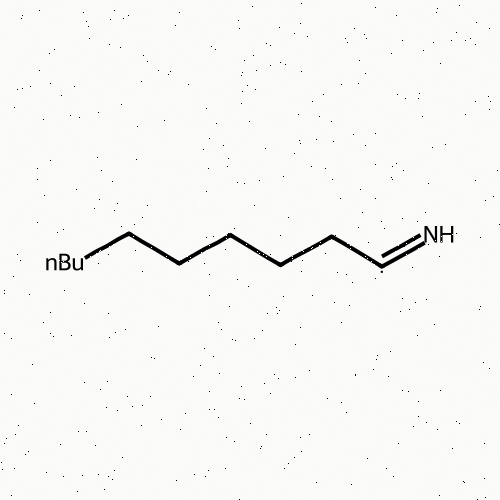 CCCCCCCCC[C]=N